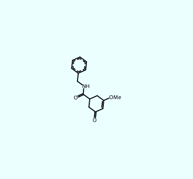 COC1=CC(=O)CC(C(=O)NCc2ccccc2)C1